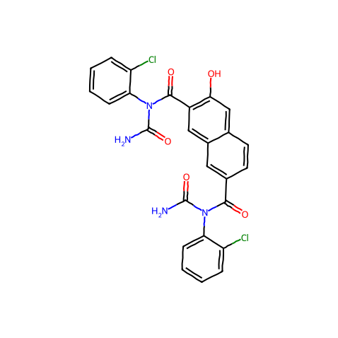 NC(=O)N(C(=O)c1ccc2cc(O)c(C(=O)N(C(N)=O)c3ccccc3Cl)cc2c1)c1ccccc1Cl